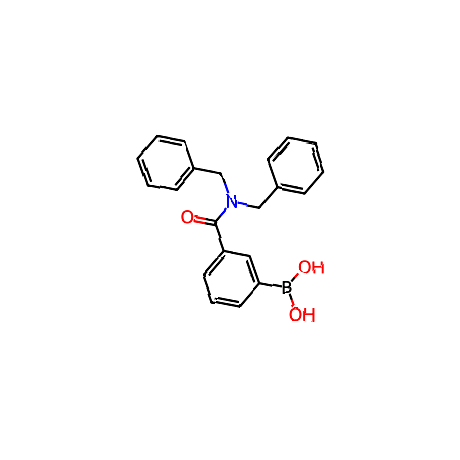 O=C(c1cccc(B(O)O)c1)N(Cc1ccccc1)Cc1ccccc1